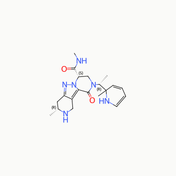 CNC(=O)[C@@H]1CN([C@H](C)C2(C)C=CC=CN2)C(=O)c2c3c(nn21)C[C@@H](C)NC3